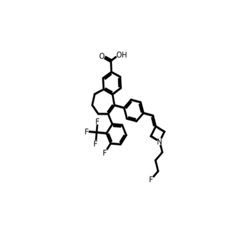 O=C(O)c1ccc2c(c1)CCCC(c1cccc(F)c1C(F)(F)F)=C2c1ccc(C=C2CN(CCCF)C2)cc1